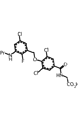 CCCNc1cc(Cl)cc(COc2c(Cl)cc(C(=O)NCC(=O)O)cc2Cl)c1F